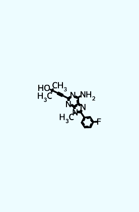 Cn1c(-c2cccc(F)c2)nc2c(N)nc(C#CC(C)(C)O)nc21